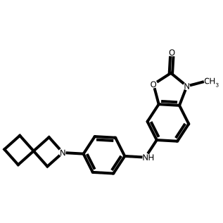 Cn1c(=O)oc2cc(Nc3ccc(N4CC5(CCC5)C4)cc3)ccc21